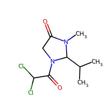 CC(C)C1N(C)C(=O)CN1C(=O)C(Cl)Cl